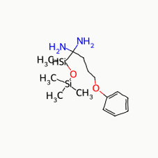 C[SiH](O[Si](C)(C)C)C(N)(N)CCCOc1ccccc1